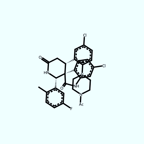 CC(=O)N1CCN(c2ccc(Cl)cc2[C@H]2CC(=O)N[C@@H](c3cc(F)ccc3C)[C@]23C(=O)Nc2cc(Cl)ccc23)CC1